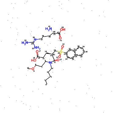 CCCCCN(CCCOC)C(=O)[C@@H](CCC(=O)O)CS(=O)(=O)c1ccc2ccccc2c1.NC(N)=NCCC[C@H](N)C(=O)O